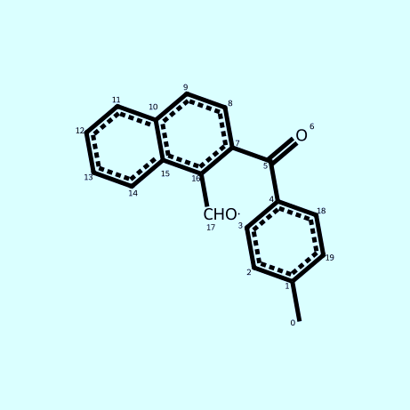 Cc1ccc(C(=O)c2ccc3ccccc3c2[C]=O)cc1